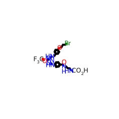 O=C(O)NCCCNC(=O)c1ccc(Nc2nc(NCc3ccc(OCCCBr)cc3)nc(OCC(F)(F)F)n2)cc1